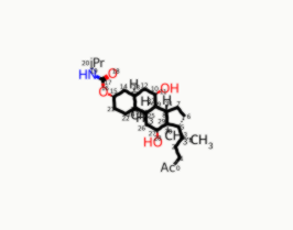 CC(=O)CC[C@@H](C)[C@H]1CC[C@H]2[C@@H]3[C@H](O)C[C@@H]4C[C@H](OC(=O)NC(C)C)CC[C@]4(C)[C@H]3C[C@H](O)[C@]12C